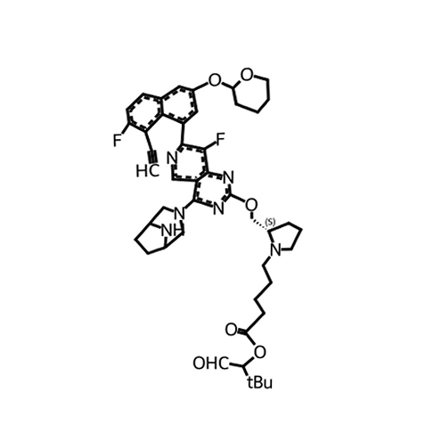 C#Cc1c(F)ccc2cc(OC3CCCCO3)cc(-c3ncc4c(N5CC6CCC(C5)N6)nc(OC[C@@H]5CCCN5CCCCC(=O)OC(C=O)C(C)(C)C)nc4c3F)c12